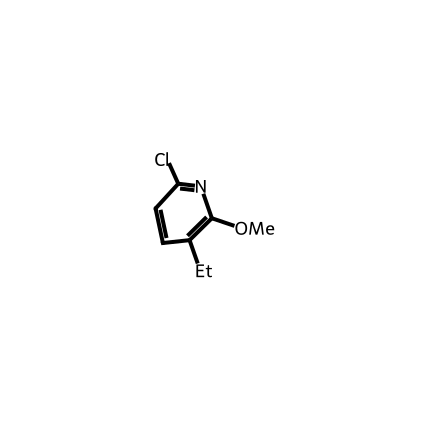 CCc1ccc(Cl)nc1OC